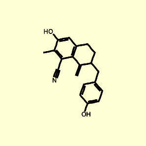 C=C1c2c(cc(O)c(C)c2C#N)CCC1Cc1ccc(O)cc1